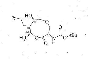 CC(C)CC[C@H]1[C@H](C)OC(=O)C(NC(=O)OC(C)(C)C)COC[C@@H]1O